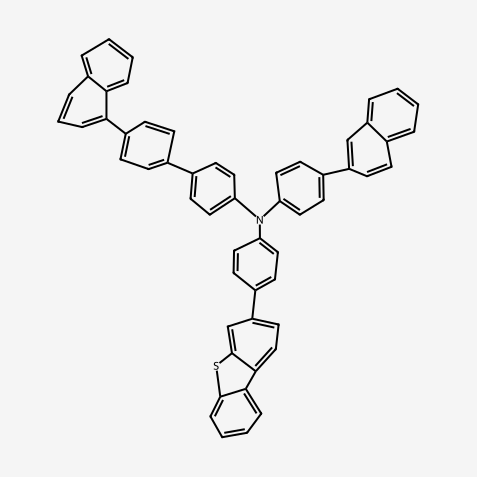 c1ccc2cc(-c3ccc(N(c4ccc(-c5ccc(-c6cccc7ccccc67)cc5)cc4)c4ccc(-c5ccc6c(c5)sc5ccccc56)cc4)cc3)ccc2c1